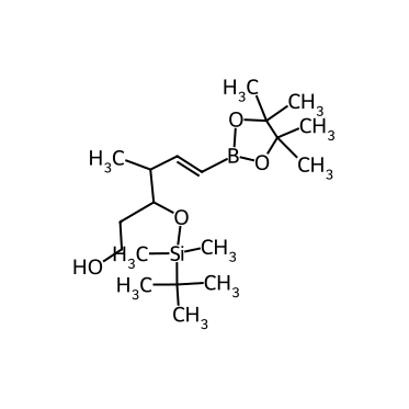 CC(/C=C/B1OC(C)(C)C(C)(C)O1)C(CCO)O[Si](C)(C)C(C)(C)C